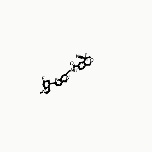 Cn1ccc2c(-c3ccc4cnc(CNC(=O)c5ccc6c(c5)[C@](C)(C#N)COC6)cc4n3)cc(F)cc21